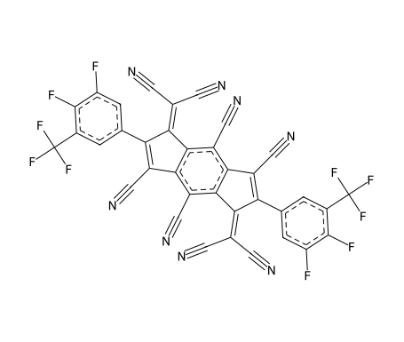 N#CC(C#N)=C1C(c2cc(F)c(F)c(C(F)(F)F)c2)=C(C#N)c2c(C#N)c3c(c(C#N)c21)C(C#N)=C(c1cc(F)c(F)c(C(F)(F)F)c1)C3=C(C#N)C#N